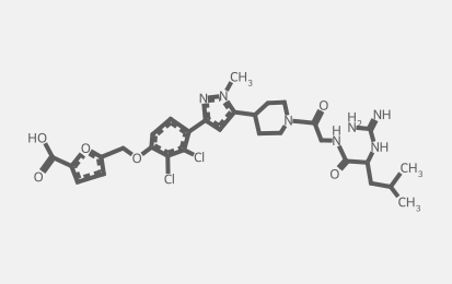 CC(C)CC(NC(=N)N)C(=O)NCC(=O)N1CCC(c2cc(-c3ccc(OCc4ccc(C(=O)O)o4)c(Cl)c3Cl)nn2C)CC1